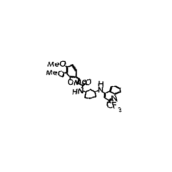 COc1ccc(/C=C/C(=O)N[C@@H]2CCC[C@H](Nc3cc(C(F)(F)F)nc4ccccc34)C2)c(OC)c1OC